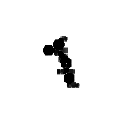 COc1ccc(NC(=N)N2CCc3nc(C(=O)Nc4cc(C(C)C)ccc4Nc4ccccc4)sc3C2)cc1